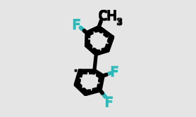 Cc1ccc(-c2[c]ccc(F)c2F)cc1F